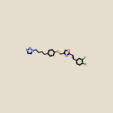 Fc1ccc(/C=C/c2nc(COc3ccc(CCCCn4ccnn4)cc3)co2)cc1F